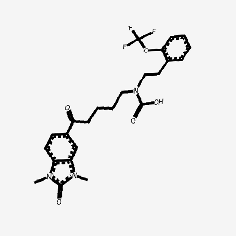 Cn1c(=O)n(C)c2cc(C(=O)CCCCN(CCc3ccccc3OC(F)(F)F)C(=O)O)ccc21